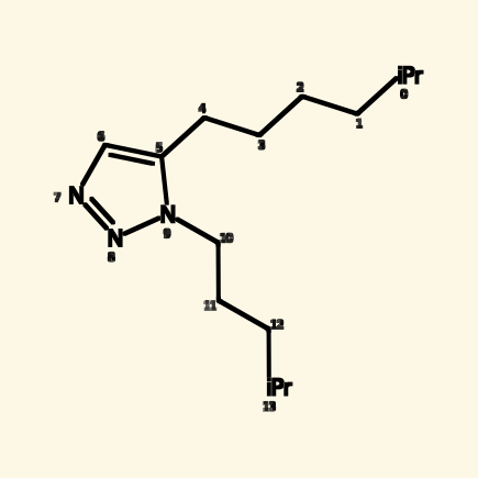 CC(C)CCCCc1cnnn1CCCC(C)C